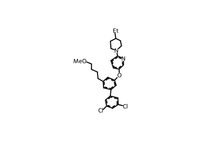 CCC1CCN(c2ccc(Oc3cc(CCCCOC)cc(-c4cc(Cl)cc(Cl)c4)c3)cn2)CC1